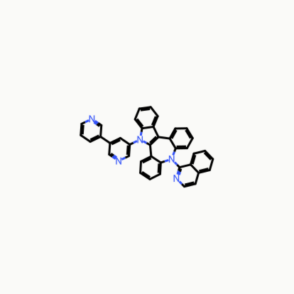 c1cncc(-c2cncc(-n3c4c(c5ccccc53)-c3ccccc3N(c3nccc5ccccc35)c3ccccc3-4)c2)c1